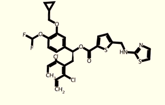 C=C/C(Cl)=C(C[C@H](OC(=O)c1ccc(CNc2nccs2)s1)c1ccc(OC(F)F)c(OCC2CC2)c1)\C(Cl)=C/C